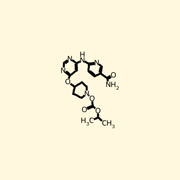 CC(C)OC(=O)ON1CCC(Oc2cc(Nc3ccc(C(N)=O)cn3)ncn2)CC1